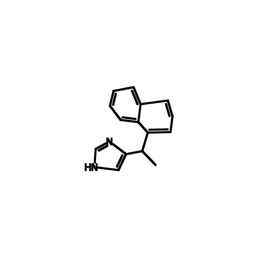 CC(c1c[nH]cn1)c1cccc2ccccc12